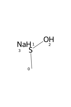 CSO.[NaH]